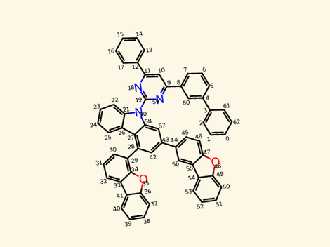 c1ccc(-c2cccc(-c3cc(-c4ccccc4)nc(-n4c5ccccc5c5c(-c6cccc7c6oc6ccccc67)cc(-c6ccc7oc8ccccc8c7c6)cc54)n3)c2)cc1